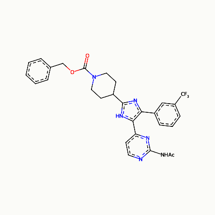 CC(=O)Nc1nccc(-c2[nH]c(C3CCN(C(=O)OCc4ccccc4)CC3)nc2-c2cccc(C(F)(F)F)c2)n1